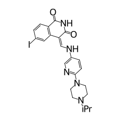 CC(C)N1CCN(c2ccc(NC=C3C(=O)NC(=O)c4ccc(I)cc43)cn2)CC1